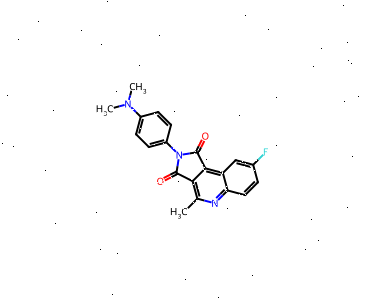 Cc1nc2ccc(F)cc2c2c1C(=O)N(c1ccc(N(C)C)cc1)C2=O